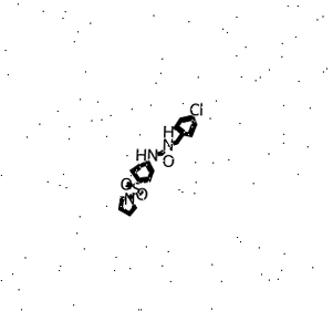 O=C(NCc1ccc(Cl)cc1)Nc1ccc(S(=O)(=O)N2CCCC2)cc1